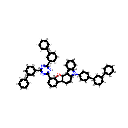 C1=CC2c3cccc(-c4nc(-c5cccc(-c6ccccc6)c5)nc(-c5cccc(-c6ccccc6)c5)n4)c3OC2c2c1n(-c1ccc(-c3cccc(-c4ccccc4)c3)cc1)c1ccccc21